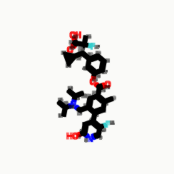 Cc1cc(-c2cc(O)ncc2F)c(CN(C(C)C)C(C)C)cc1C(=O)Oc1cccc([C@H](C2CC2)C(C)(F)C(=O)O)c1